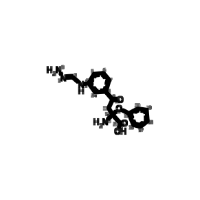 NN=CNc1cccc(C(=O)CC(N)(Oc2ccccc2)C(=O)O)c1